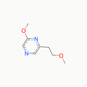 COCCc1cncc(OC)n1